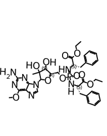 CCOC(=O)[C@H](Cc1ccccc1)NP(=O)(N[C@@H](Cc1ccccc1)C(=O)OCC)OC[C@H]1OC(n2cnc3c(OC)nc(N)nc32)C(C)(O)[C@H]1O